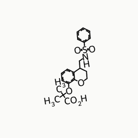 CC(C)(Oc1cccc2c1OCCC2CNS(=O)(=O)c1ccccc1)C(=O)O